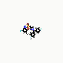 O=C(O)c1cc(F)cc(NS(=O)(=O)CC2CN(C(c3ccc(F)cc3)c3ccc(F)cc3)C2)c1